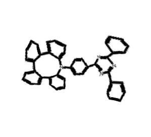 c1ccc(-c2nc(-c3ccccc3)nc(-c3ccc(-n4c5ccccc5c5ccccc5c5ccccc5c5ccccc54)cc3)n2)cc1